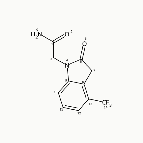 NC(=O)CN1C(=O)Cc2c1cccc2C(F)(F)F